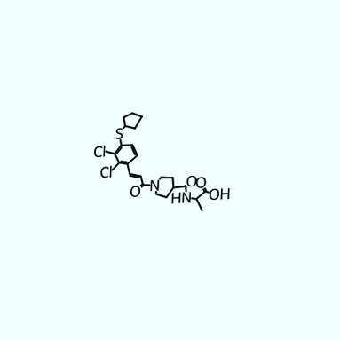 CC(NC(=O)C1CCN(C(=O)C=Cc2ccc(SC3CCCC3)c(Cl)c2Cl)CC1)C(=O)O